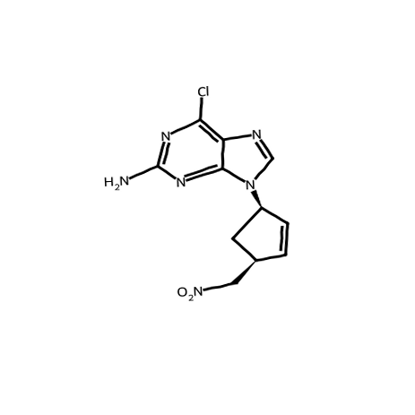 Nc1nc(Cl)c2ncn([C@H]3C=C[C@@H](C[N+](=O)[O-])C3)c2n1